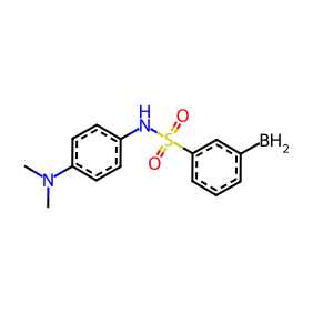 Bc1cccc(S(=O)(=O)Nc2ccc(N(C)C)cc2)c1